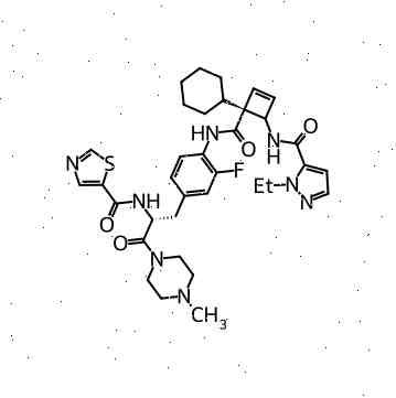 CCn1nccc1C(=O)NC1C=C[C@]1(C(=O)Nc1ccc(C[C@@H](NC(=O)c2cncs2)C(=O)N2CCN(C)CC2)cc1F)C1CCCCC1